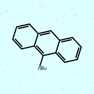 [CH2]CCCc1c2ccccc2cc2ccccc12